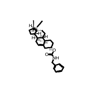 C[C@H]1[C@H]2CC[C@H]3[C@@H]4CC=C5C[C@@H](OC(=O)NCc6ccccc6)CC[C@]5(C)[C@H]4CC[C@]23CN1C